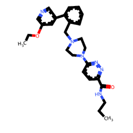 CCCNC(=O)c1ccc(N2CCN(Cc3ccccc3-c3cncc(OCC)c3)CC2)nn1